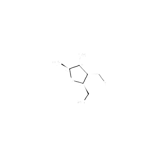 B[C@@H]1O[C@H](CO)[C@@H](CF)[C@H]1O